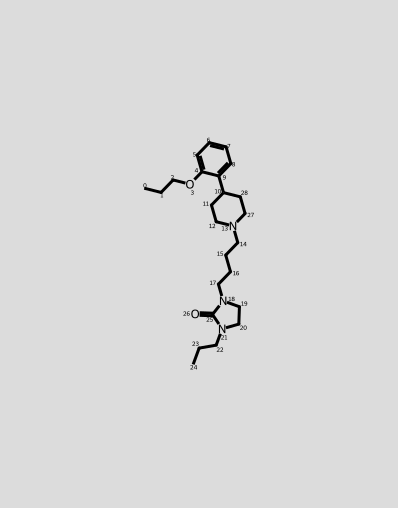 CCCOc1ccccc1C1CCN(CCCCN2CCN(CCC)C2=O)CC1